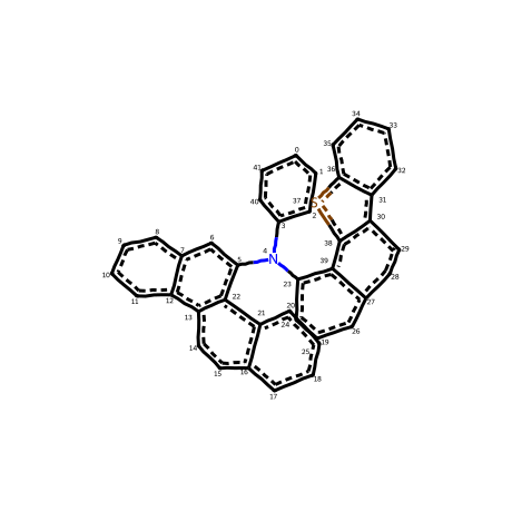 c1ccc(N(c2cc3ccccc3c3ccc4ccccc4c23)c2cccc3ccc4c5ccccc5sc4c23)cc1